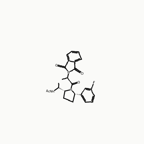 CC(=O)NC(C)[C@H]1CC[C@@H](c2cccc(F)c2)N1C(=O)C(C)N1C(=O)c2ccccc2C1=O